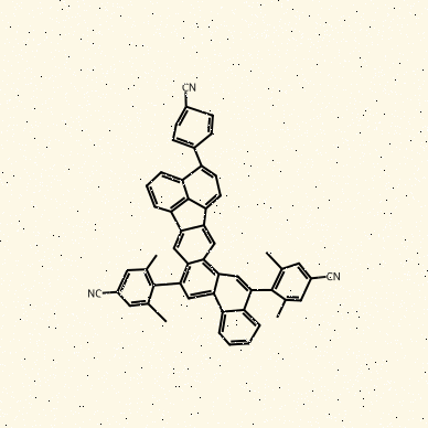 Cc1cc(C#N)cc(C)c1-c1cc2c3cc4c(cc3c(-c3c(C)cc(C#N)cc3C)cc2c2ccccc12)-c1cccc2c(-c3ccc(C#N)cc3)ccc-4c12